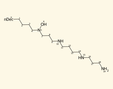 CCCCCCCCCCCCCCN(O)CCCNCCCCNCCCN